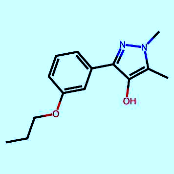 CCCOc1cccc(-c2nn(C)c(C)c2O)c1